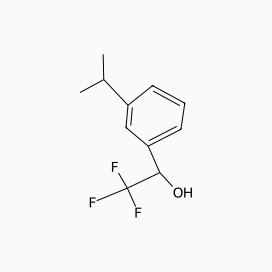 CC(C)c1cccc(C(O)C(F)(F)F)c1